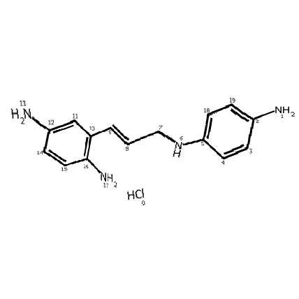 Cl.Nc1ccc(NC/C=C/c2cc(N)ccc2N)cc1